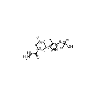 Cc1c(N2C[C@@H](C)C[C@H](C(=O)NN)C2)cnn1CC(C)(C)O